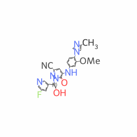 COc1cc(Nc2cc(C#N)nn([C@@H](CO)c3cncc(F)c3)c2=O)ccc1-n1cnc(C)c1